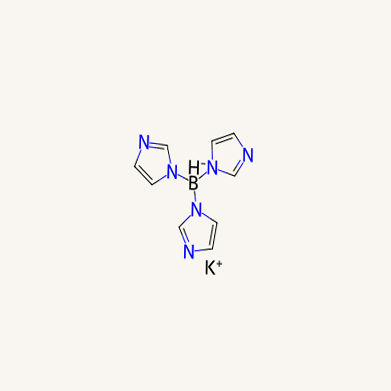 [K+].c1cn([BH-](n2ccnc2)n2ccnc2)cn1